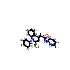 ClC1=C/C(=C\c2nc3ncccc3o2)c2ccccc2N1c1ccccc1